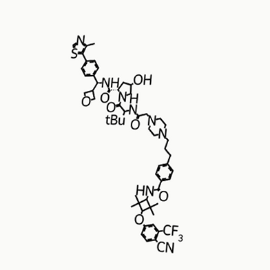 Cc1ncsc1-c1ccc([C@@H](NC(=O)[C@@H]2C[C@@H](O)CN2C(=O)C(NC(=O)CN2CCN(CCCc3ccc(C(=O)NC4C(C)(C)C(Oc5ccc(C#N)c(C(F)(F)F)c5)C4(C)C)cc3)CC2)C(C)(C)C)C2COC2)cc1